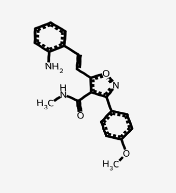 CNC(=O)c1c(-c2ccc(OC)cc2)noc1C=Cc1ccccc1N